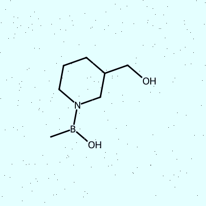 CB(O)N1CCCC(CO)C1